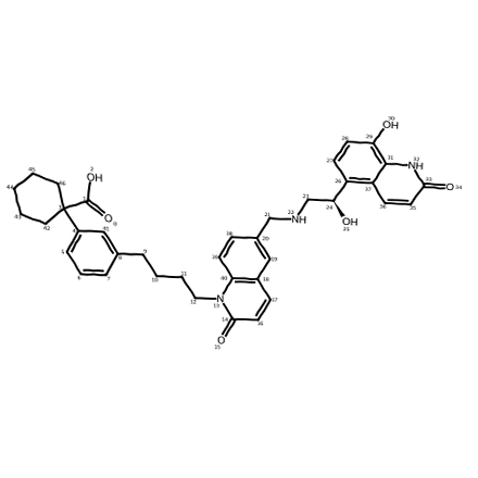 O=C(O)C1(c2cccc(CCCCn3c(=O)ccc4cc(CNC[C@H](O)c5ccc(O)c6[nH]c(=O)ccc56)ccc43)c2)CCCCC1